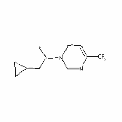 CC(CC1CC1)N1C=NC(C(F)(F)F)=CC1